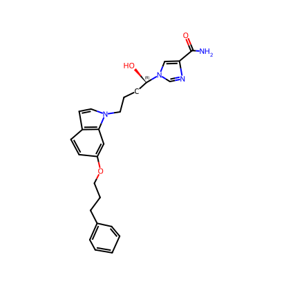 NC(=O)c1cn([C@H](O)CCCn2ccc3ccc(OCCCc4ccccc4)cc32)cn1